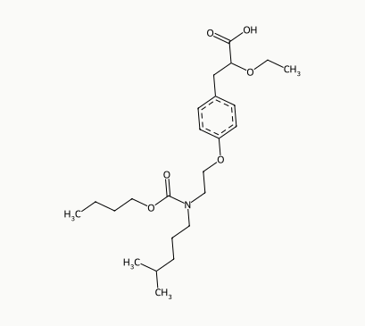 CCCCOC(=O)N(CCCC(C)C)CCOc1ccc(CC(OCC)C(=O)O)cc1